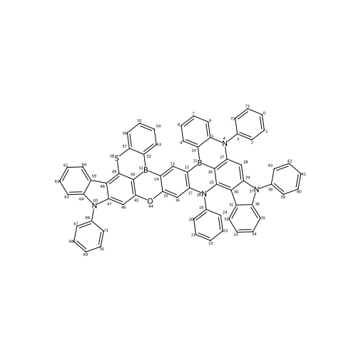 c1ccc(N2c3ccccc3B3c4cc5c(cc4N(c4ccccc4)c4c3c2cc2c4c3ccccc3n2-c2ccccc2)Oc2cc3c(c4c2B5c2ccccc2S4)c2ccccc2n3-c2ccccc2)cc1